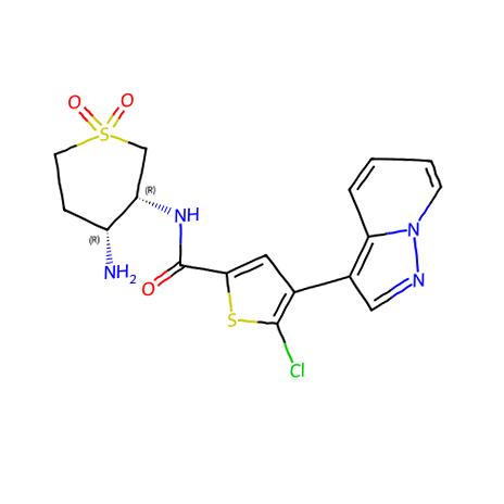 N[C@@H]1CCS(=O)(=O)C[C@@H]1NC(=O)c1cc(-c2cnn3ccccc23)c(Cl)s1